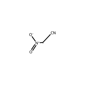 N#C[C][N+](=O)[O-]